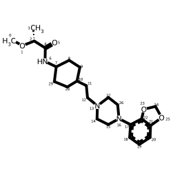 CO[C@H](C)C(=O)NC1CCC(CCN2CCN(c3cccc4c3OCO4)CC2)CC1